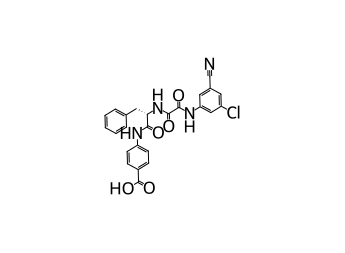 N#Cc1cc(Cl)cc(NC(=O)C(=O)N[C@@H](Cc2ccccc2)C(=O)Nc2ccc(C(=O)O)cc2)c1